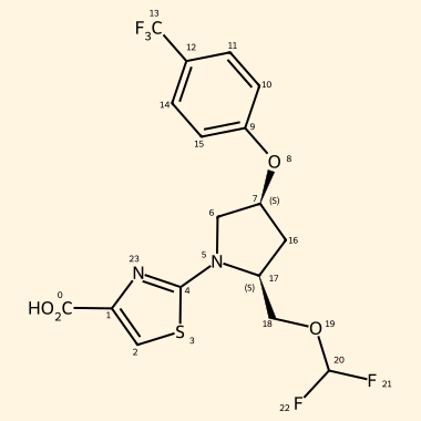 O=C(O)c1csc(N2C[C@@H](Oc3ccc(C(F)(F)F)cc3)C[C@H]2COC(F)F)n1